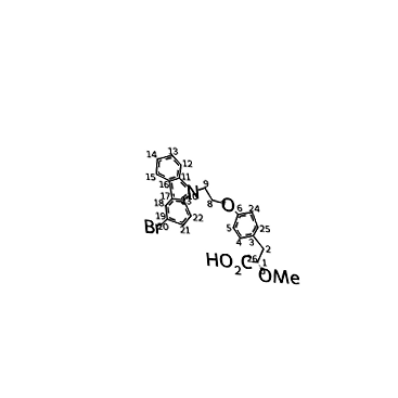 CO[C@@H](Cc1ccc(OCCn2c3ccccc3c3cc(Br)ccc32)cc1)C(=O)O